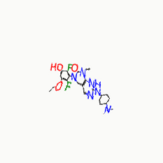 CCOc1cc(O)c(F)c(N2Cc3cnc(NC4CCC(N(C)C)CC4)nc3N(CC)C2=O)c1F